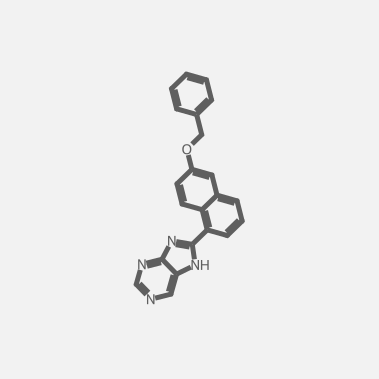 c1ccc(COc2ccc3c(-c4nc5ncncc5[nH]4)cccc3c2)cc1